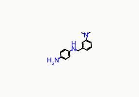 CN(C)c1cccc(CNc2ccc(N)cc2)c1